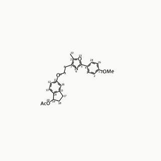 COc1ccc(-c2nc(CCOc3ccc4c(c3)CCC4OC(C)=O)c(C)o2)cc1